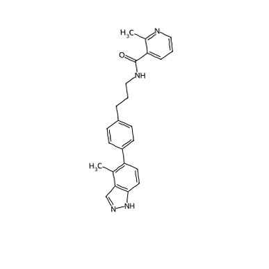 Cc1ncccc1C(=O)NCCCc1ccc(-c2ccc3[nH]ncc3c2C)cc1